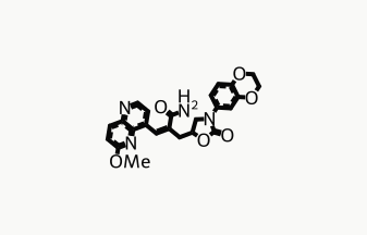 COc1ccc2nccc(C=C(CC3CN(c4ccc5c(c4)OCCO5)C(=O)O3)C(N)=O)c2n1